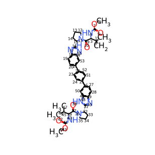 C=C(C)[C@H](NC(=O)OC)C(=O)N1CCC[C@H]1c1nc2ccc(-c3ccc(-c4ccc5nc([C@@H]6CCCN6C(=O)[C@@H](NC(=O)OC)C(C)C)[nH]c5c4)cc3)cc2[nH]1